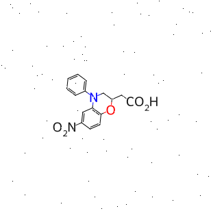 O=C(O)CC1CN(c2ccccc2)c2cc([N+](=O)[O-])ccc2O1